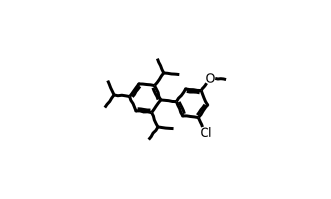 COc1cc(Cl)cc(-c2c(C(C)C)cc(C(C)C)cc2C(C)C)c1